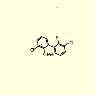 COc1c(Cl)cccc1-c1cccc(C#N)c1F